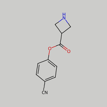 N#Cc1ccc(OC(=O)C2CNC2)cc1